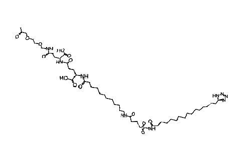 CC(=O)COCCOCNC(=O)CCC(NC(=O)CCC(NC(=O)CCCCCCCCCCCNC(=O)CCCS(=O)(=O)NC(=O)CCCCCCCCCCCCCCCc1nnn[nH]1)C(=O)O)C(=O)O